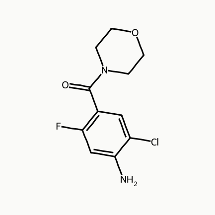 Nc1cc(F)c(C(=O)N2CCOCC2)cc1Cl